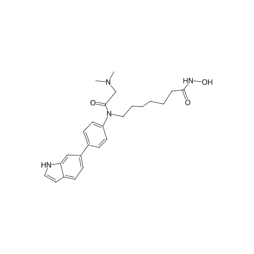 CN(C)CC(=O)N(CCCCCCC(=O)NO)c1ccc(-c2ccc3cc[nH]c3c2)cc1